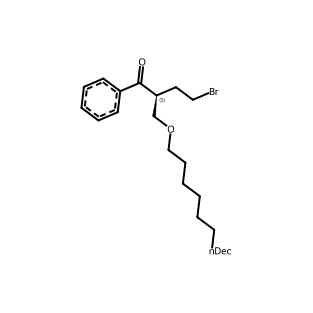 CCCCCCCCCCCCCCCCOC[C@H](CCBr)C(=O)c1ccccc1